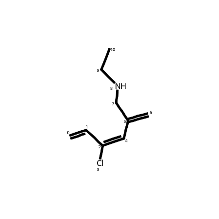 C=C/C(Cl)=C\C(=C)CNCC